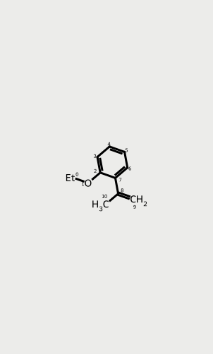 [CH2]COc1ccccc1C(=C)C